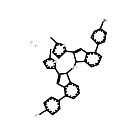 Cc1ccc(C2=Cc3c(-c4ccc(C(C)C)cc4)cccc3[CH]2[Zr+2][CH]2C(c3ccc(C)s3)=Cc3c(-c4ccc(C(C)C)cc4)cccc32)s1.[Cl-].[Cl-]